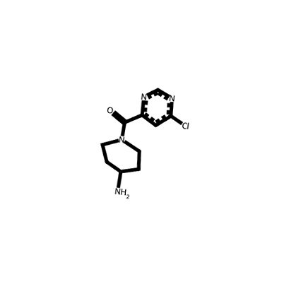 NC1CCN(C(=O)c2cc(Cl)ncn2)CC1